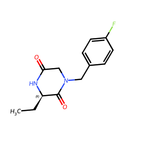 CC[C@H]1NC(=O)CN(Cc2ccc(F)cc2)C1=O